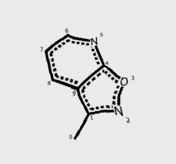 Cc1noc2ncccc12